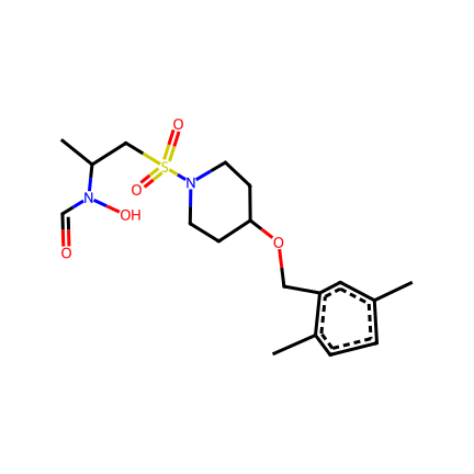 Cc1ccc(C)c(COC2CCN(S(=O)(=O)CC(C)N(O)C=O)CC2)c1